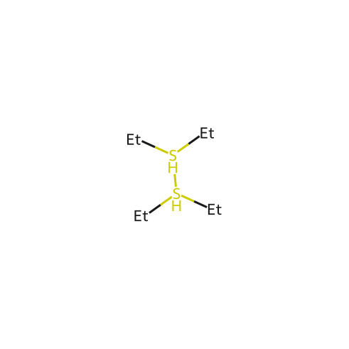 CC[SH](CC)[SH](CC)CC